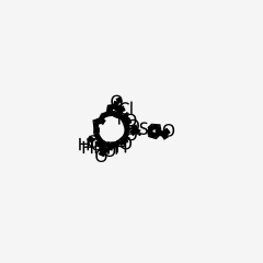 COc1cc2cc(c1Cl)N(C)C(=O)C[C@H](OC(=O)CSc1ccc(C(C)=O)cc1)[C@]1(C)O[C@H]1[C@H](C)[C@@H]1C[C@@](O)(NC(=O)O1)[C@H](OC)/C=C/C=C(\C)C2